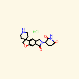 Cl.O=C1CC[C@@H](N2Cc3cc4c(cc3C2=O)OCC42CCNCC2)C(=O)N1